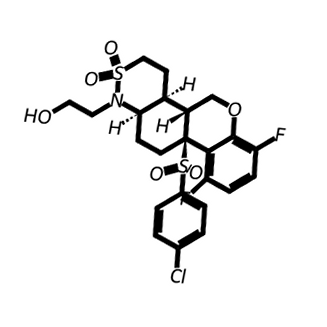 O=S1(=O)CC[C@@H]2[C@@H](CC[C@@]3(S(=O)(=O)c4ccc(Cl)cc4)c4c(F)ccc(F)c4OC[C@@H]23)N1CCO